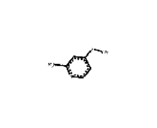 CCCSc1ccnc(N)c1